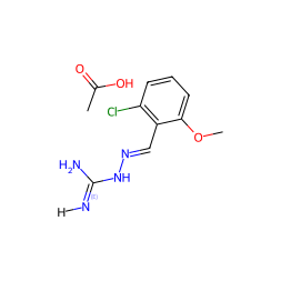 CC(=O)O.[H]/N=C(\N)NN=Cc1c(Cl)cccc1OC